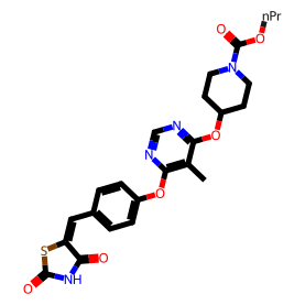 CCCOC(=O)N1CCC(Oc2ncnc(Oc3ccc(/C=C4/SC(=O)NC4=O)cc3)c2C)CC1